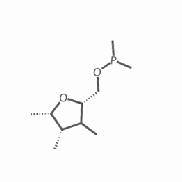 CC1[C@@H](COP(C)C)O[C@@H](C)[C@H]1C